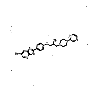 OC(COc1ccc(-c2nc3cc(Br)cnc3[nH]2)cc1)CN1CCN(c2cnccn2)CC1